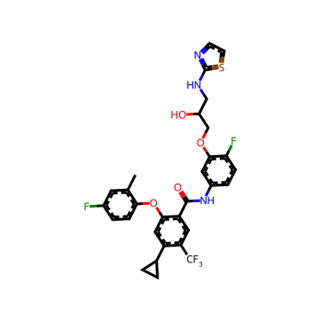 Cc1cc(F)ccc1Oc1cc(C2CC2)c(C(F)(F)F)cc1C(=O)Nc1ccc(F)c(OCC(O)CNc2nccs2)c1